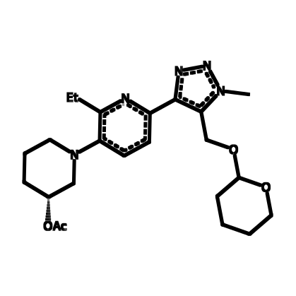 CCc1nc(-c2nnn(C)c2COC2CCCCO2)ccc1N1CCC[C@@H](OC(C)=O)C1